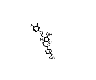 Cc1cc(OC[C@@H]2[C@H]3CC[C@H](c4nc(CO)cs4)O[C@H]3C[C@@H]2O)ccc1F